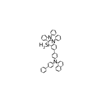 c1ccc(-c2ccc(N(c3ccc(-c4ccc5c(c4)[SiH2]c4c(n(-c6ccccc6)c6ccccc46)N5c4ccccc4)cc3)c3cccc4ccccc34)cc2)cc1